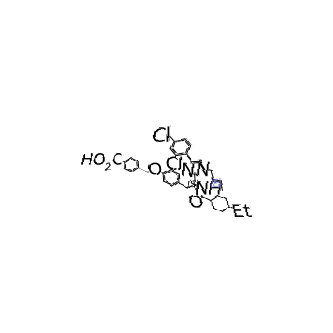 C/C=C/Cn1cc(-c2ccc(Cl)cc2Cl)nc1[C@H](Cc1ccc(OCc2ccc(C(=O)O)cc2)cc1)NC(=O)C1CCC(CC)CC1